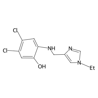 CCn1cnc(CNc2cc(Cl)c(Cl)cc2O)c1